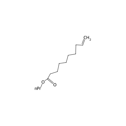 C=CCCCCCCCC(=O)OCCC